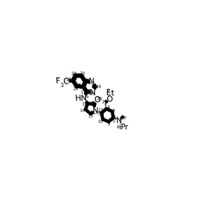 CCOC[C@@H]1C[C@H](N(C)C(C)C)CC[C@@H]1N1CCC(Nc2ncnc3ccc(C(F)(F)F)cc23)C1=O